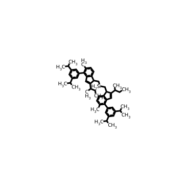 CCC(C)C1=Cc2c(ccc(C)c2-c2cc(C(C)C)cc(C(C)C)c2)C1C[SiH2]CC1C(C(C)CC)=Cc2c1ccc(C)c2-c1cc(C(C)C)cc(C(C)C)c1